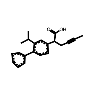 CC#CCC(C(=O)O)c1ccc(-c2ccccc2)c(C(C)C)c1